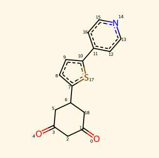 O=C1CC(=O)CC(c2ccc(-c3ccncc3)s2)C1